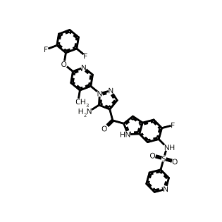 Cc1cc(Oc2c(F)cccc2F)ncc1-n1ncc(C(=O)c2cc3cc(F)c(NS(=O)(=O)c4cccnc4)cc3[nH]2)c1N